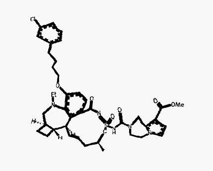 CCN1C[C@@H]2CC[C@H]2[C@@H]2/C=C/C[C@H](C)CS(=O)(NC(=O)N3CCn4ccc(C(=O)OC)c4C3)=NC(=O)c3ccc(OCCCCc4cccc(Cl)c4)c1c32